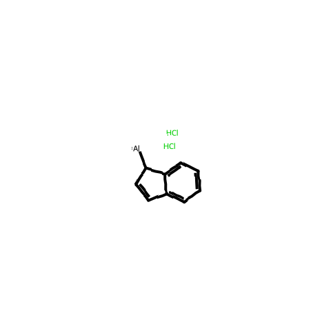 Cl.Cl.[Al][CH]1C=Cc2ccccc21